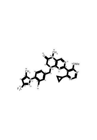 COc1ncnc(C2CC2)c1-c1ncc2c(n1)N(Cc1ccc(-n3nc(C(F)(F)F)cc3C)c(F)c1)CC(=O)N2C